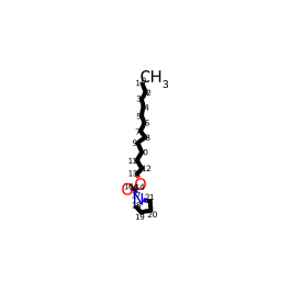 CCCCCCCCCCCCCCOC(=O)N1CCCC1